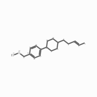 C/C=C/CCC1CCC(c2ccc(COCC)cc2)CC1